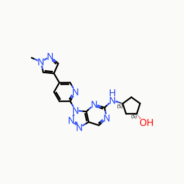 Cn1cc(-c2ccc(-n3nnc4cnc(N[C@H]5CC[C@H](O)C5)nc43)nc2)cn1